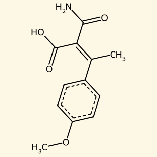 COc1ccc(C(C)=C(C(N)=O)C(=O)O)cc1